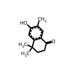 Cc1cc2c(cc1O)C(C)(C)CCC2=O